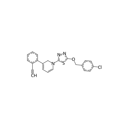 C#Cc1ccccc1C1=CC=CN(c2nnc(OCc3ccc(Cl)cc3)s2)C1